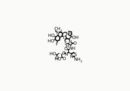 CCn1cc(C[N+]2(CC3=C(C(=O)O)N4C(=O)[C@@H](NC(=O)/C(=N\O[C@@H](CC(=O)O)C(=O)O)c5csc(N)n5)[C@H]4SC3)CCCC2)c(=O)c2cc(F)c(O)c(O)c21